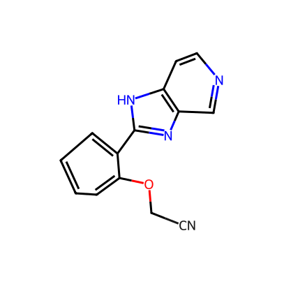 N#CCOc1ccccc1-c1nc2cnccc2[nH]1